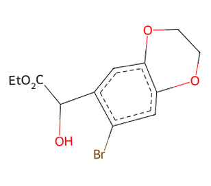 CCOC(=O)C(O)c1cc2c(cc1Br)OCCO2